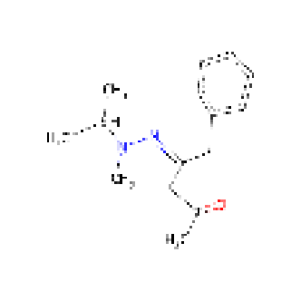 CC(=O)CC(Cc1ccccc1)=NN(C)[SiH](C)C